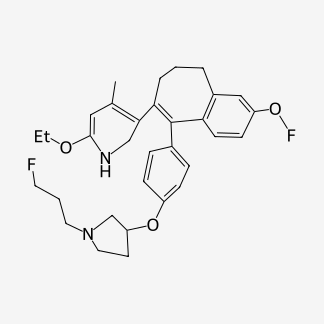 CCOC1=CC(C)=C(C2=C(c3ccc(OC4CCN(CCCF)C4)cc3)c3ccc(OF)cc3CCC2)CN1